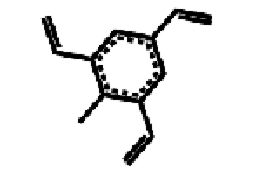 C=Cc1cc(C=C)c(C)c(C=C)c1